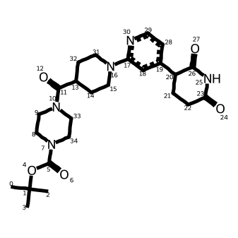 CC(C)(C)OC(=O)N1CCN(C(=O)C2CCN(c3cc(C4CCC(=O)NC4=O)ccn3)CC2)CC1